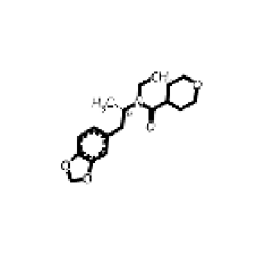 CCN(C(=O)C1CCOCC1)[C@@H](C)Cc1ccc2c(c1)OCO2